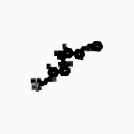 CN(C)CCNc1cc(F)cc(-c2ccnc3[nH]c(-c4n[nH]c5c(F)cc(-c6cncc(CNCc7ccccc7)c6)cc45)nc23)c1